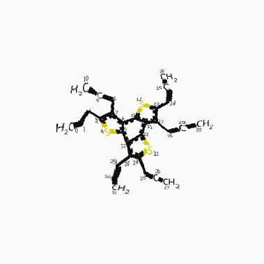 C=C=Cc1sc2c(c1C=C=C)c1sc(C=C=C)c(C=C=C)c1c1sc(C=C=C)c(C=C=C)c21